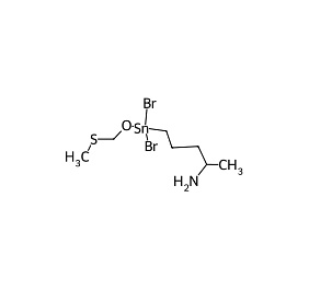 CSC[O][Sn]([Br])([Br])[CH2]CCC(C)N